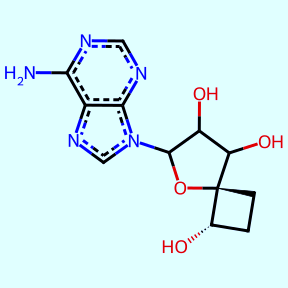 Nc1ncnc2c1ncn2C1O[C@]2(CC[C@@H]2O)C(O)C1O